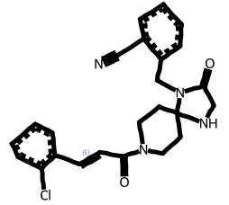 N#Cc1ccccc1CN1C(=O)CNC12CCN(C(=O)/C=C/c1ccccc1Cl)CC2